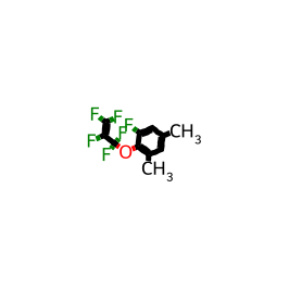 Cc1cc(C)c(OC(F)(F)C(F)=C(F)F)c(F)c1